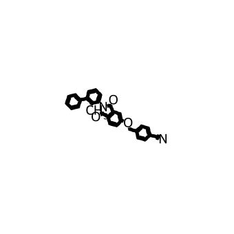 Cc1c(-c2ccccc2)cccc1N1C(=O)c2ccc(OCc3ccc(C#N)cc3)cc2C1=O